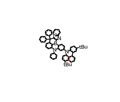 CC(C)(C)c1ccc(N(c2ccc3c(c2)N(c2ccccc2)c2cccc4c2B3c2nc3ccccn3c2C4(c2ccccc2)c2ccccc2)c2ccc(C(C)(C)C)cc2-c2ccccc2)cc1